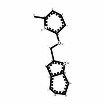 Cc1cccc(OCc2cc3ccccc3o2)n1